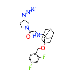 [N-]=[N+]=NC1CCN(C(=O)CNC23CC4CC(C2)CC(OCc2ccc(F)cc2F)(C4)C3)C1